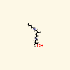 CCCC/C=C/CC(C)CC/C=C/CC(C)CO